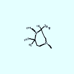 CN1CC(O)(O)N(N=O)C(O)(O)C1